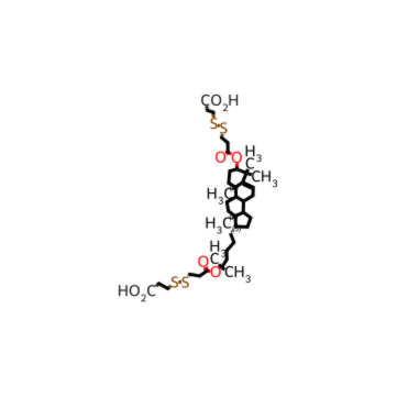 CC(C)(CCCC[C@H]1CCC2C3CC=C4C(C)(C)C(OC(=O)CCSSCCC(=O)O)CC[C@]4(C)C3CC[C@@]21C)OC(=O)CCSSCCC(=O)O